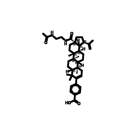 C=C(C)[C@@H]1CC[C@]2(C(=O)NCCNC(C)=O)CC[C@]3(C)[C@H](CC[C@@H]4[C@@]5(C)CC=C(c6ccc(C(=O)O)cc6)C(C)(C)[C@@H]5CC[C@]43C)[C@@H]12